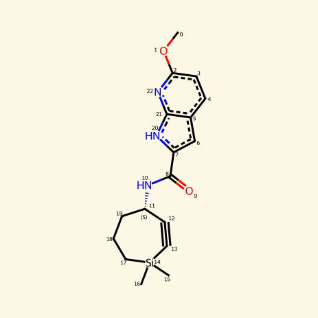 COc1ccc2cc(C(=O)N[C@@H]3C#C[Si](C)(C)CCC3)[nH]c2n1